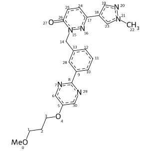 COCCCOc1cnc(-c2cccc(Cn3nc(-c4cnn(C)c4)ccc3=O)c2)nc1